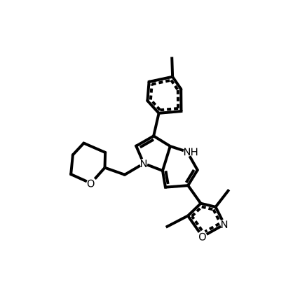 Cc1ccc(C2=CN(CC3CCCCO3)C3=CC(c4c(C)noc4C)=CNC23)cc1